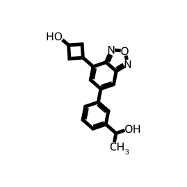 CC(O)c1cccc(-c2cc(C3CC(O)C3)c3nonc3c2)c1